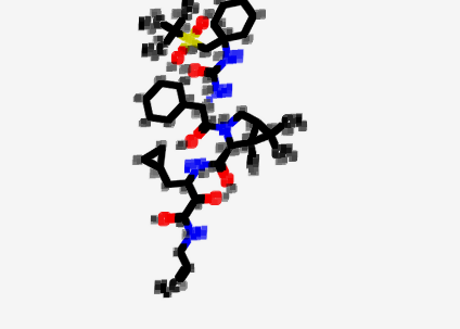 C=CCNC(=O)C(=O)C(CC1CC1)NC(=O)[C@@H]1[C@@H]2C(CN1C(=O)[C@@H](NC(=O)NC1(CS(=O)(=O)C(C)(C)C)CCCCC1)C1CCCCC1)C2(C)C